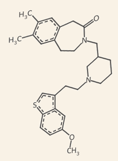 COc1ccc2scc(CCN3CCCC(CN4CCc5cc(C)c(C)cc5CC4=O)C3)c2c1